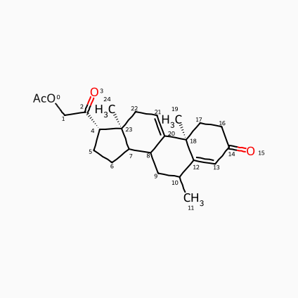 CC(=O)OCC(=O)[C@H]1CCC2C3CC(C)C4=CC(=O)CC[C@]4(C)C3=CC[C@@]21C